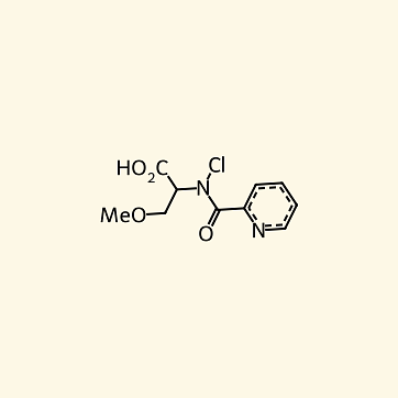 COCC(C(=O)O)N(Cl)C(=O)c1ccccn1